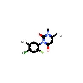 Cn1c(C(F)(F)F)cc(=O)n(-c2cc(C#N)c(Cl)cc2F)c1=O